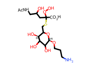 CC(=O)NCC(O)CC(OO)(SCC1O[C@@H](OCCCN)C(O)C(O)[C@H]1O)C(=O)O